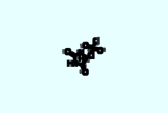 O=C1CNC(=O)N1.O=S(=O)(Cl)Cl